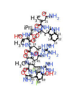 CC(C)[C@H](NC(=O)[C@H](Cc1c[nH]c2ccccc12)NC(=O)[C@@H](C)CC(N)=O)C(=O)N[C@H](C(=O)N[C@@H](CCCNC(=N)N)C(=O)N[C@@H](CCC(N)=O)C(=O)N(C)[C@@H](CCCNC(=N)N)C(=O)N[C@@H](Cc1c(F)cc(O)cc1F)C(N)=O)[C@@H](C)O